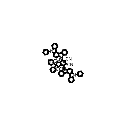 CC1(C)c2c(-n3c4ccccc4c4c5c6ccccc6n(-c6ccccc6)c5ccc43)c(C#N)c(C#N)c(-n3c4ccccc4c4c5c6ccccc6n(-c6ccccc6)c5ccc43)c2C(C)(C)C1(c1ccccc1)c1ccccc1